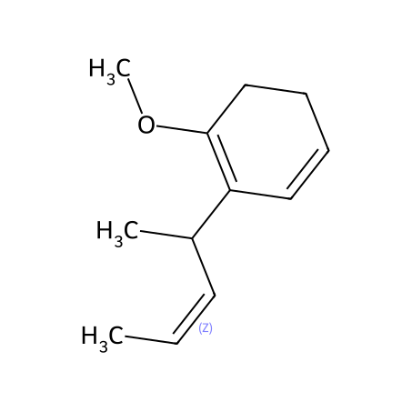 C/C=C\C(C)C1=C(OC)CCC=C1